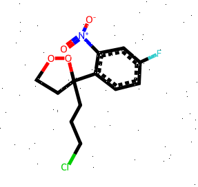 O=[N+]([O-])c1cc(F)ccc1C1(CCCCl)CCOO1